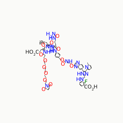 Cc1cccc(-c2nc(CNc3cccc(C(=O)O)c3F)[nH]c2-c2ccc3ncc(OCCNC(=O)OCc4ccc(NC(=O)[C@H](CCCNC(N)=O)NC(=O)[C@H](CC(C)C)NC(=O)[C@H](CCC(=O)O)NC(=O)CCOCCOCCOCCOCCN5C(=O)C=CC5=O)cc4)nc3c2)n1